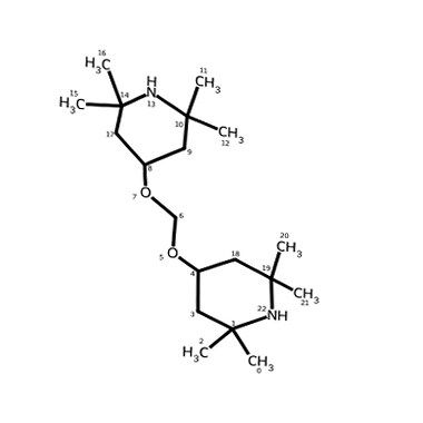 CC1(C)CC(OCOC2CC(C)(C)NC(C)(C)C2)CC(C)(C)N1